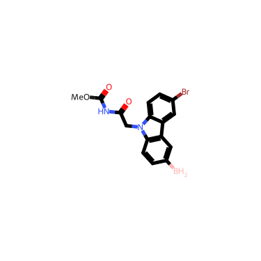 Bc1ccc2c(c1)c1cc(Br)ccc1n2CC(=O)NC(=O)OC